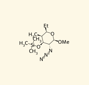 CC[C@H]1O[C@@H](OC)[C@H](N=[N+]=[N-])[C@@H](O[Si](C)(C)C)[C@H]1C